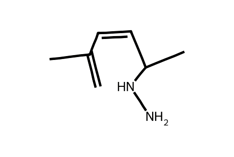 C=C(C)/C=C\C(C)NN